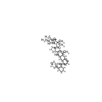 CNC(C)C(=O)NC(C(=O)N1CCCC1C(=O)Nc1cc2c(Nc3ccccc3N3CCOCC3)ncnc2cc1OC)C(C)(C)C